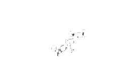 Cn1oc2cc(N(c3ccc(C(=O)N4CCC(F)(F)CC4)cn3)C3CC3)ccc2c1=O